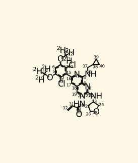 [2H]C([2H])([2H])Oc1cc(OC([2H])([2H])[2H])c(Cl)c(-c2cc3cnc(N[C@@H]4COC[C@@H]4NC(=O)C=C)nc3c(NCC3CC3)n2)c1Cl